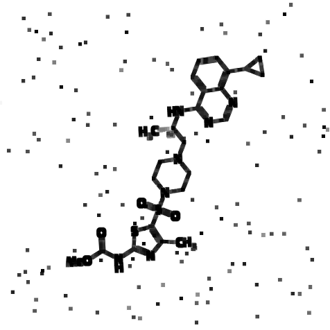 COC(=O)Nc1nc(C)c(S(=O)(=O)N2CCN(C[C@H](C)Nc3ncnc4c(C5CC5)cccc34)CC2)s1